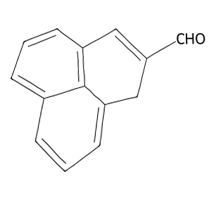 O=CC1=Cc2cccc3cccc(c23)C1